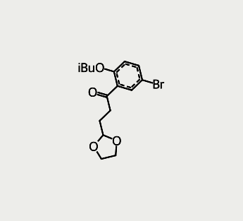 CC(C)COc1ccc(Br)cc1C(=O)CCC1OCCO1